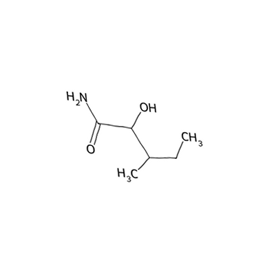 CCC(C)C(O)C(N)=O